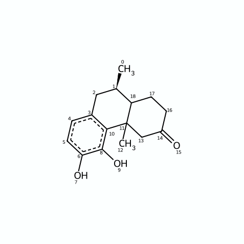 C[C@@H]1Cc2ccc(O)c(O)c2C2(C)CC(=O)CCC12